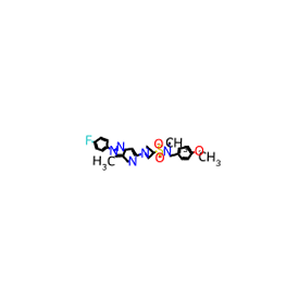 COc1ccc(CN(C)S(=O)(=O)C2CN(c3cc4nn(-c5ccc(F)cc5)c(C)c4cn3)C2)cc1